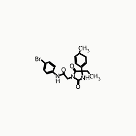 CCC1(C2=CCC(C)C=C2)NC(=O)N(CC(=O)Nc2ccc(Br)cc2)C1=O